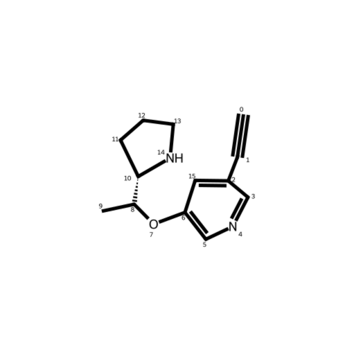 C#Cc1cncc(OC(C)[C@@H]2CCCN2)c1